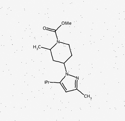 COC(=O)N1CCC(n2nc(C)cc2C(C)C)CC1C